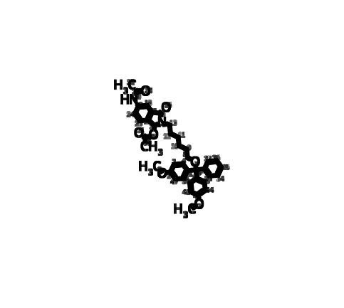 COc1ccc(C(OCCCCCCN2C(=O)c3cc(NC(C)=O)ccc3C2OC(C)=O)(c2ccccc2)c2ccc(OC)cc2)cc1